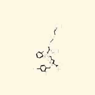 COCCOCCOC(=O)[C@H](O)[C@@H](Cc1ccccc1Cl)NC(=O)c1cc(C(=O)O)n(Cc2ccc(Cl)cc2F)n1